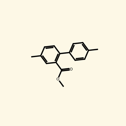 COC(=O)c1cc(C)ccc1-c1ccc(C)cc1